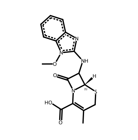 COn1c(NC2C(=O)N3C(C(=O)O)=C(C)CS[C@@H]23)nc2ccccc21